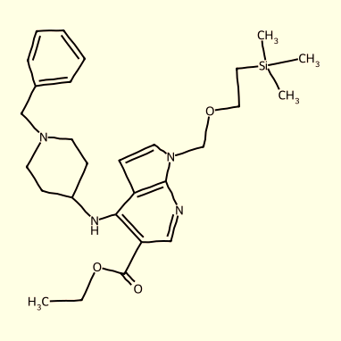 CCOC(=O)c1cnc2c(ccn2COCC[Si](C)(C)C)c1NC1CCN(Cc2ccccc2)CC1